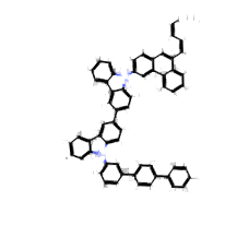 C/C=C\C=C/c1cc2ccc(-n3c4ccccc4c4cc(-c5ccc6c(c5)c5ccccc5n6-c5cccc(-c6ccc(-c7ccccc7)cc6)c5)ccc43)cc2c2ccccc12